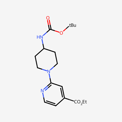 CCOC(=O)c1ccnc(N2CCC(NC(=O)OC(C)(C)C)CC2)c1